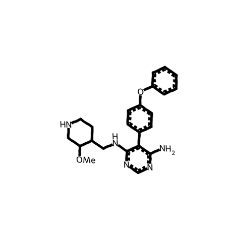 COC1CNCCC1CNc1ncnc(N)c1-c1ccc(Oc2ccccc2)cc1